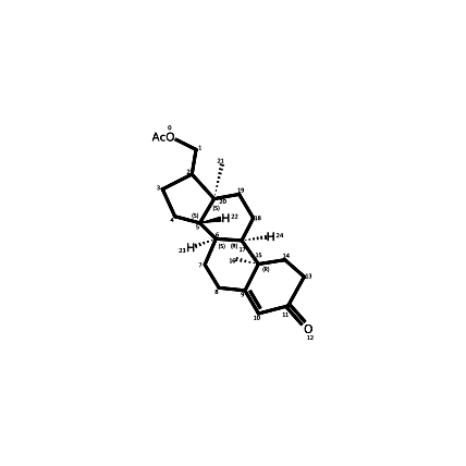 CC(=O)OCC1CC[C@H]2[C@@H]3CCC4=CC(=O)CC[C@]4(C)[C@@H]3CC[C@]12C